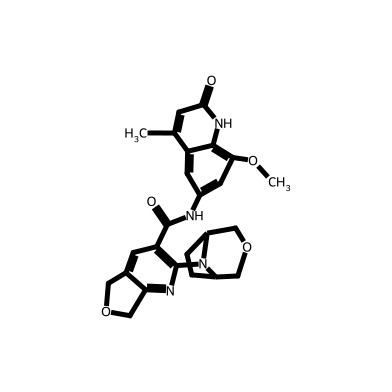 COc1cc(NC(=O)c2cc3c(nc2N2C4CCC2COC4)COC3)cc2c(C)cc(=O)[nH]c12